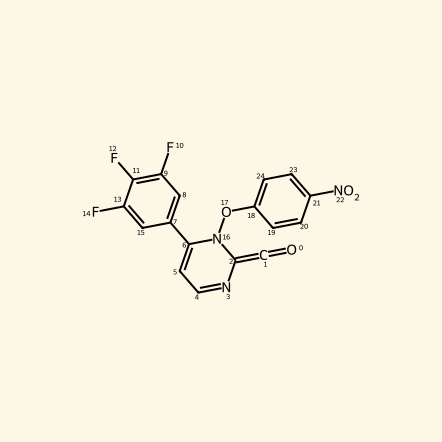 O=C=C1N=CC=C(c2cc(F)c(F)c(F)c2)N1Oc1ccc([N+](=O)[O-])cc1